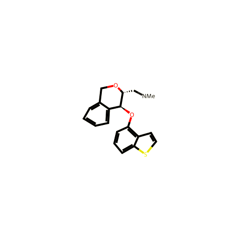 CNC[C@H]1OCc2ccccc2[C@@H]1Oc1cccc2sccc12